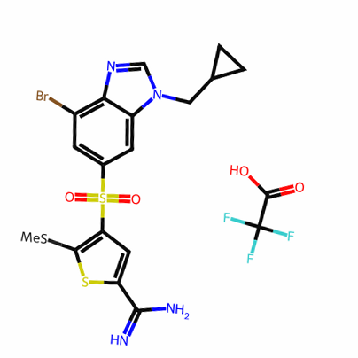 CSc1sc(C(=N)N)cc1S(=O)(=O)c1cc(Br)c2ncn(CC3CC3)c2c1.O=C(O)C(F)(F)F